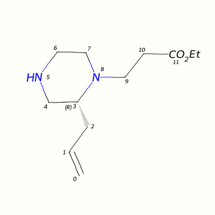 C=CC[C@@H]1CNCCN1CCC(=O)OCC